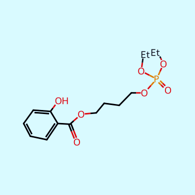 CCOP(=O)(OCC)OCCCCOC(=O)c1ccccc1O